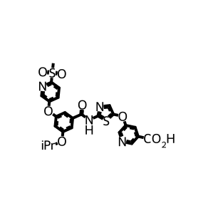 CC(C)Oc1cc(Oc2ccc(S(C)(=O)=O)nc2)cc(C(=O)Nc2ncc(Oc3cncc(C(=O)O)c3)s2)c1